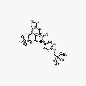 CCOP(=O)(CCc1ccc(NC(=O)[C@H](CC2CCCC2)c2ccc(S(C)(=O)=O)cc2)nc1)OCC